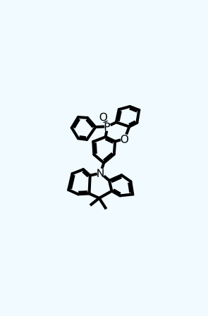 CC1(C)c2ccccc2N(c2ccc3c(c2)Oc2ccccc2P3(=O)c2ccccc2)c2ccccc21